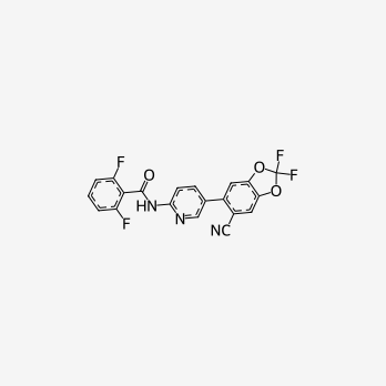 N#Cc1cc2c(cc1-c1ccc(NC(=O)c3c(F)cccc3F)nc1)OC(F)(F)O2